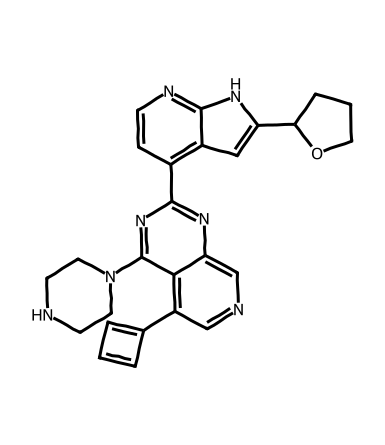 C1=CC(c2cncc3nc(-c4ccnc5[nH]c(C6CCCO6)cc45)nc(N4CCNCC4)c23)=C1